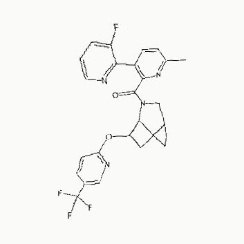 Cc1ccc(-c2ncccc2F)c(C(=O)N2CC3CC34CC(Oc3ccc(C(F)(F)F)cn3)C24)n1